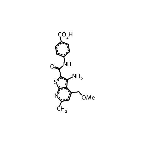 COCc1cc(C)nc2sc(C(=O)Nc3ccc(C(=O)O)cc3)c(N)c12